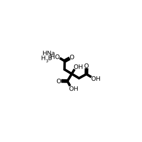 B.O=C(O)CC(O)(CC(=O)O)C(=O)O.[NaH]